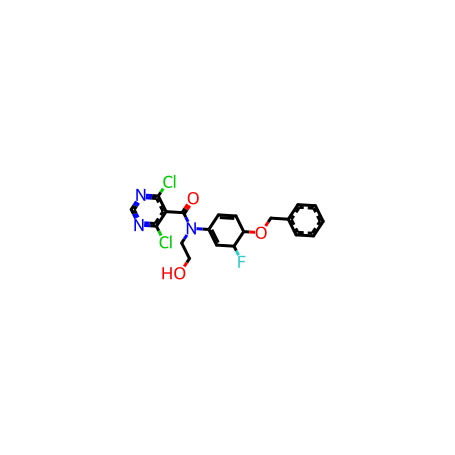 O=C(c1c(Cl)ncnc1Cl)N(CCO)C1=CC(F)C(OCc2ccccc2)C=C1